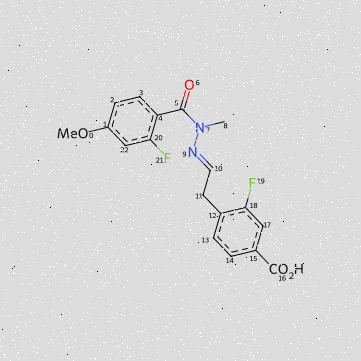 COc1ccc(C(=O)N(C)/N=C/Cc2ccc(C(=O)O)cc2F)c(F)c1